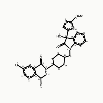 COc1ncc(C2(O)C(=O)N(CC3CCC(NC(=O)c4cc(Cl)cnc4C(F)F)CC3)c3ccccc32)s1